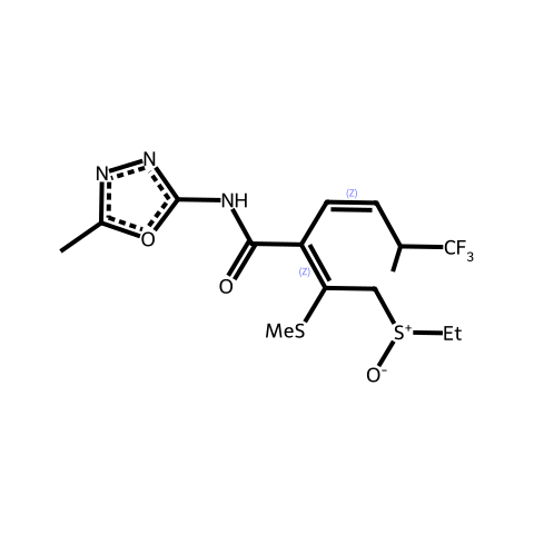 CC[S+]([O-])C/C(SC)=C(\C=C/C(C)C(F)(F)F)C(=O)Nc1nnc(C)o1